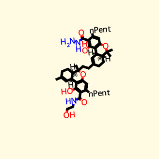 CCCCCc1cc2c(c(O)c1C(=O)NN)[C@@H]1C=C(CCC3(C)Oc4cc(CCCCC)c(C(=O)NCCO)c(O)c4[C@@H]4C=C(C)CC[C@H]43)CC[C@H]1C(C)(C)O2